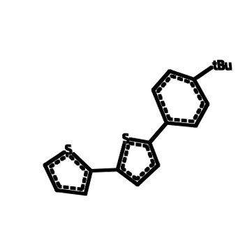 CC(C)(C)c1ccc(-c2ccc(-c3cccs3)s2)cc1